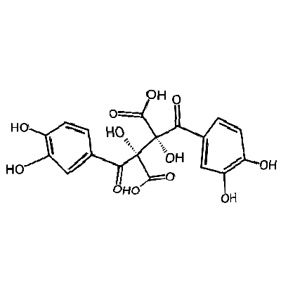 O=C(O)[C@@](O)(C(=O)c1ccc(O)c(O)c1)[C@@](O)(C(=O)O)C(=O)c1ccc(O)c(O)c1